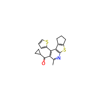 Cc1nc2sc3c(c2c(-c2cccs2)c1C(=O)C1CC1)CCC3